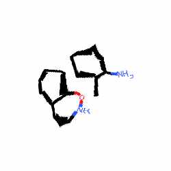 C1=Cc2ccccc2ON1.Cc1ccccc1N